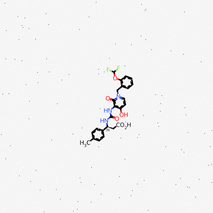 Cc1ccc([C@H](CC(=O)O)NC(=O)Nc2c(O)ccn(Cc3ccccc3OC(F)F)c2=O)cc1